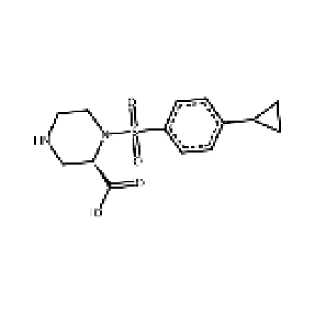 O=C(O)[C@H]1CNCCN1S(=O)(=O)c1ccc(C2CC2)cc1